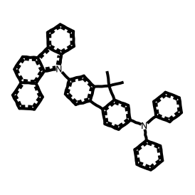 CC1(C)c2cc(N(c3ccccc3)c3ccccc3)ccc2-c2ccc(-n3c4ccccc4c4ccc5ccccc5c43)cc21